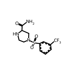 NC(=O)C1CN(S(=O)(=O)c2cccc(C(F)(F)F)c2)CCN1